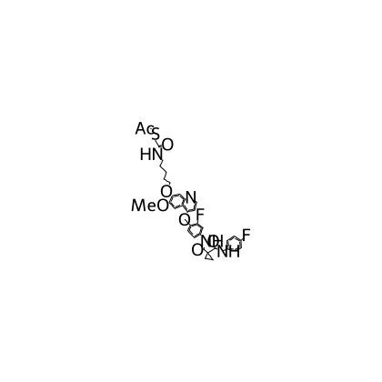 COc1cc2c(Oc3ccc(NC(=O)C4(C(=O)Nc5ccc(F)cc5)CC4)cc3F)ccnc2cc1OCCCCCNC(=O)CSC(C)=O